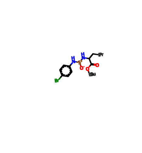 CC(C)CC(N[S+]([O-])Nc1ccc(Br)cc1)C(=O)OC(C)(C)C